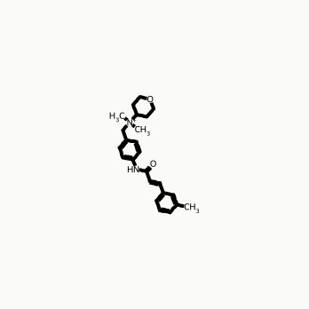 Cc1cccc(/C=C/C(=O)Nc2ccc(C[N+](C)(C)C3CCOCC3)cc2)c1